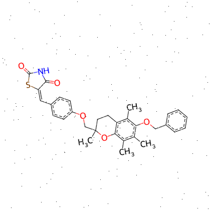 Cc1c(C)c2c(c(C)c1OCc1ccccc1)CCC(C)(COc1ccc(C=C3SC(=O)NC3=O)cc1)O2